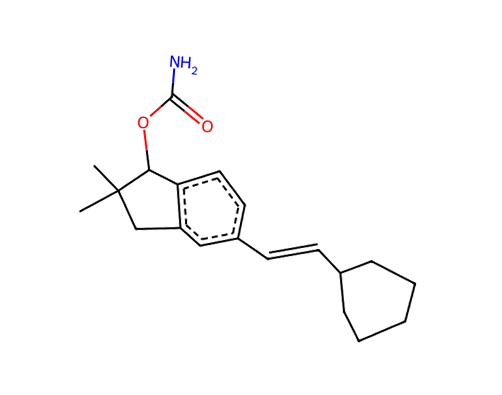 CC1(C)Cc2cc(/C=C/C3CCCCC3)ccc2C1OC(N)=O